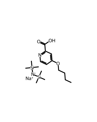 CCCCOc1ccnc(C(=O)O)c1.C[Si](C)(C)[N-][Si](C)(C)C.[Na+]